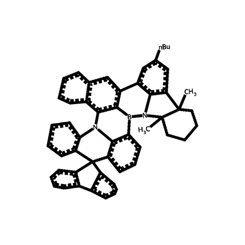 CCCCc1cc2c3c(c1)C1(C)CCCCC1(C)N3B1c3cccc4c3N(c3ccccc3C43c4ccccc4-c4ccccc43)c3c1c-2cc1ccccc31